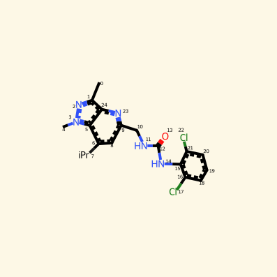 Cc1nn(C)c2c(C(C)C)cc(CNC(=O)Nc3c(Cl)cccc3Cl)nc12